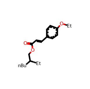 CCCCC(CC)COC(=O)C=Cc1ccc(OCC)cc1